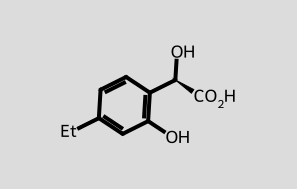 CCc1ccc([C@@H](O)C(=O)O)c(O)c1